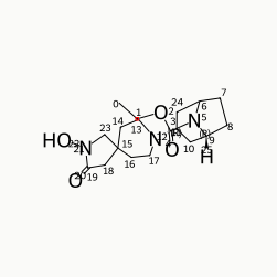 CCOC(=O)N1C2CC[C@@H]1C[C@H](N1CCC3(CC1)CC(=O)N(O)C3)C2